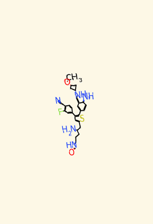 COC1CC(N/C=C2/C=C(c3sc(CC(N)CCCNC=O)cc3-c3ccc(C#N)c(F)c3)C=CC2=N)C1